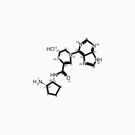 Cl.N[C@H]1CCC[C@H]1NC(=O)C1=CN(c2ncnc3[nH]cnc23)CCS1